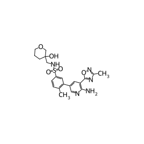 Cc1noc(-c2cc(-c3cc(S(=O)(=O)NCC4(O)CCCOC4)ccc3C)cnc2N)n1